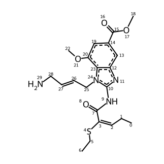 CC/C=C(/SCC)C(=O)Nc1nc2cc(C(=O)OC)cc(OC)c2n1C/C=C/CN